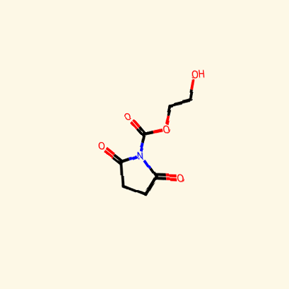 O=C1CCC(=O)N1C(=O)OCCO